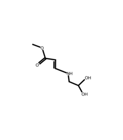 COC(=O)C=CNCC(O)O